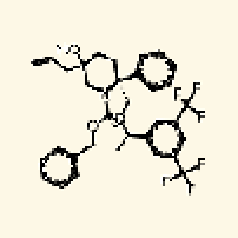 C=CCC1(O)CC[C@@](CO[C@H](C)c2cc(C(F)(F)F)cc(C(F)(F)F)c2)(c2ccccc2)N(C(=O)OCc2ccccc2)C1